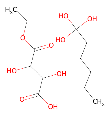 CCCCCC(O)(O)O.CCOC(=O)C(O)C(O)C(=O)O